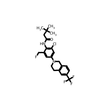 CC(C)(C)CC(=O)Nc1c(Cl)cc(N2CCc3cc(C(F)(F)F)ccc3C2)cc1CF